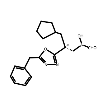 O=CN(O)C[C@@H](CC1CCCC1)c1nnc(Cc2ccccc2)o1